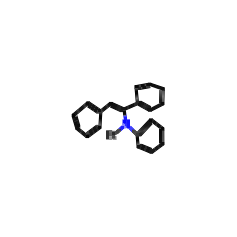 CCN(C(=Cc1ccccc1)c1ccccc1)c1ccccc1